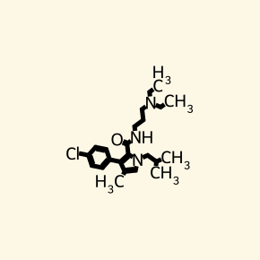 CCN(CC)CCCNC(=O)c1c(-c2ccc(Cl)cc2)c(C)cn1CC(C)C